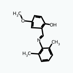 COc1ccc(O)c(C=Nc2c(C)cccc2C)c1